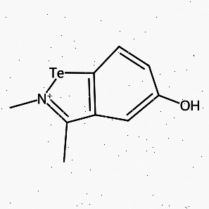 Cc1c2cc(O)ccc2[te][n+]1C